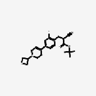 CC(C)(C)OC(=O)C(C#N)Cc1ccc(C2=CCN(C3COC3)CC2)cc1F